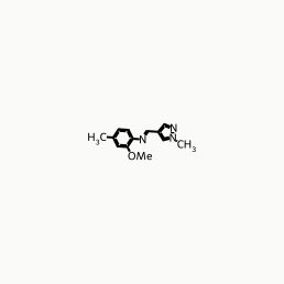 COc1cc(C)ccc1N=Cc1cnn(C)c1